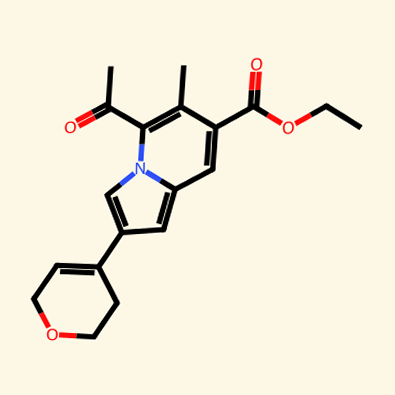 CCOC(=O)c1cc2cc(C3=CCOCC3)cn2c(C(C)=O)c1C